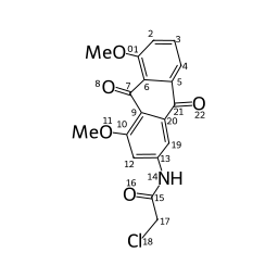 COc1cccc2c1C(=O)c1c(OC)cc(NC(=O)CCl)cc1C2=O